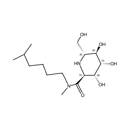 CC(C)CCCCN(C)C(=O)[C@H]1N[C@H](CO)[C@@H](O)[C@H](O)[C@@H]1O